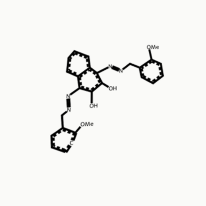 COc1ccccc1CN=Nc1c(O)c(O)c(N=NCc2ccccc2OC)c2ccccc12